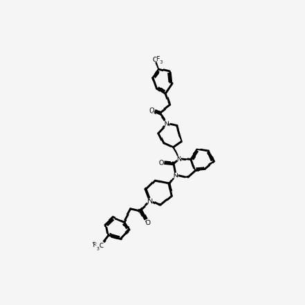 O=C(Cc1ccc(C(F)(F)F)cc1)N1CCC(N2Cc3ccccc3N(C3CCN(C(=O)Cc4ccc(C(F)(F)F)cc4)CC3)C2=O)CC1